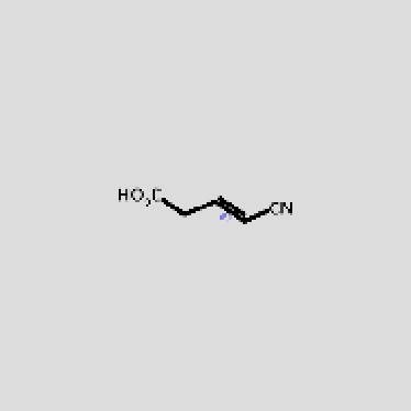 N#C/C=C/CC(=O)O